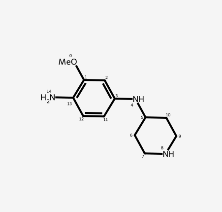 COc1cc(NC2CCNCC2)ccc1N